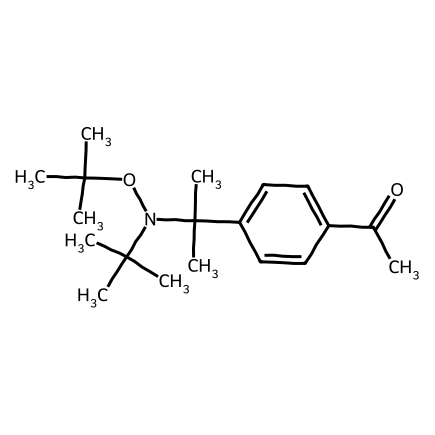 CC(=O)c1ccc(C(C)(C)N(OC(C)(C)C)C(C)(C)C)cc1